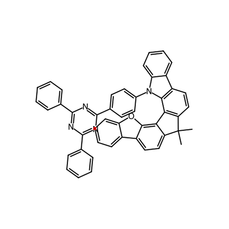 CC1(C)c2ccc3c(oc4ccccc43)c2-c2c1ccc1c3ccccc3n(-c3ccc(-c4nc(-c5ccccc5)nc(-c5ccccc5)n4)cc3)c21